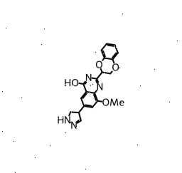 COc1cc(C2C=NNC2)cc2c(O)nc(C3COc4ccccc4O3)nc12